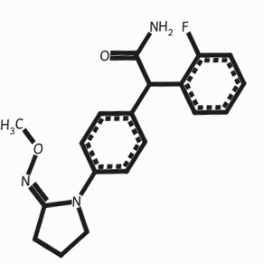 CO/N=C1/CCCN1c1ccc(C(C(N)=O)c2ccccc2F)cc1